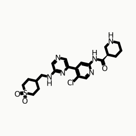 O=C(Nc1cc(-c2cncc(NCC3CCS(=O)(=O)CC3)n2)c(Cl)cn1)[C@@H]1CCCNC1